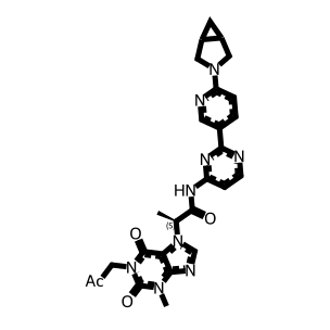 CC(=O)Cn1c(=O)c2c(ncn2[C@@H](C)C(=O)Nc2ccnc(-c3ccc(N4CC5CC5C4)nc3)n2)n(C)c1=O